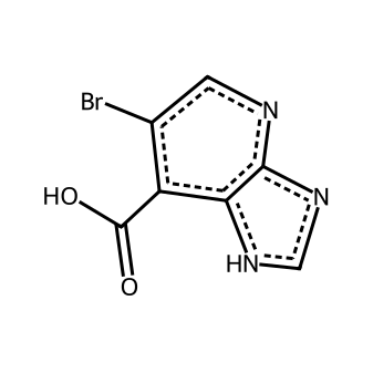 O=C(O)c1c(Br)cnc2nc[nH]c12